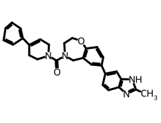 Cc1nc2ccc(-c3ccc4c(c3)CN(C(=O)N3CC=C(c5ccccc5)CC3)CCO4)cc2[nH]1